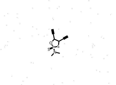 C#CC1OP(=S)(N(C)C)SC1C#C